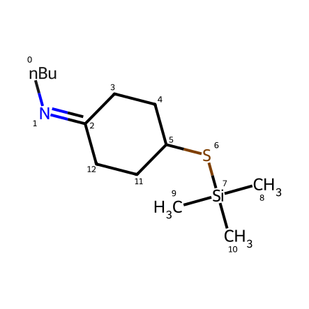 CCCCN=C1CCC(S[Si](C)(C)C)CC1